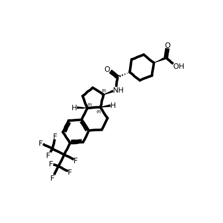 O=C(O)[C@H]1CC[C@H](C(=O)N[C@@H]2CC[C@H]3c4ccc(C(F)(C(F)(F)F)C(F)(F)F)cc4CC[C@@H]23)CC1